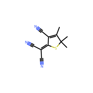 CC1=C(C#N)C(=C(C#N)C#N)SC1(C)C